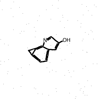 Oc1cnc2c3c(ccc2c1)C3